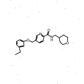 CCc1cccc(OCc2ccc(C(=O)NCC3CCOCC3)nc2)c1